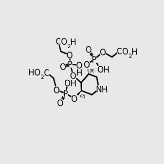 O=C(O)COP(=O)(O)OC1[C@H](OP(=O)(O)OCC(=O)O)CNC[C@H]1OP(=O)(O)OCC(=O)O